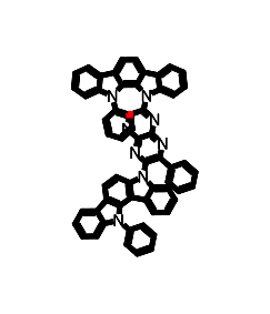 c1ccc(-c2nc3nc(-n4c5ccccc5c5ccc6c7ccccc7n(-c7ccccc7)c6c54)cnc3nc2-n2c3ccccc3c3c2ccc2c4ccccc4n(-c4ccccc4)c23)cc1